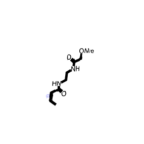 C/C=C\C(=O)NCCNC(=O)COC